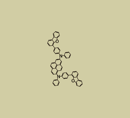 c1ccc(N(c2ccc(-c3cccc4c3oc3ccccc34)cc2)c2cc3ccc4ccc(N(c5ccccc5)c5ccc(-c6cccc7c6oc6ccccc67)cc5)c5ccc(c2)c3c45)cc1